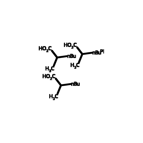 CCCCC(C)C(=O)O.CCCCC(C)C(=O)O.CCCCC(C)C(=O)O.[P]